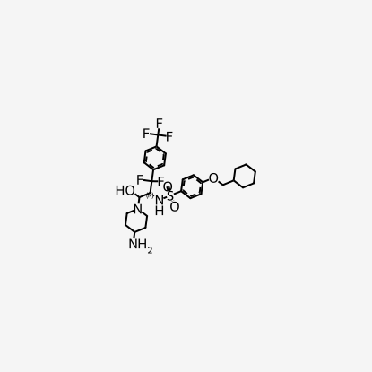 NC1CCN(C(O)[C@@H](NS(=O)(=O)c2ccc(OCC3CCCCC3)cc2)C(F)(F)c2ccc(C(F)(F)F)cc2)CC1